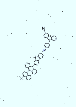 CC(C)(C)c1ccc(-c2c3ccccc3c(-c3ccc4c(c3)C(C)(C)c3cc(/C=C/c5ccc(-n6c7ccccc7c7cc(C#N)ccc76)cc5)ccc3-4)c3ccccc23)c2ccccc12